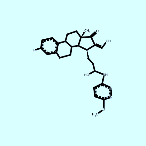 COc1ccc(NC(O)CC[C@@H]2/C(=C/O)C(=O)[C@@]3(C)CCC4c5ccc(F)cc5CCC4C23)nn1